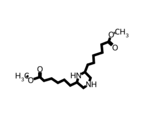 COC(=O)CCCCCC1CNCC(CCCCCC(=O)OC)N1